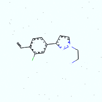 C=Cc1ccc(-c2ccn(C[C@H](C)N)n2)cc1Cl